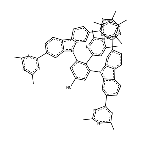 Cc1cc(-c2c(-n3c4cc(-c5nc(C)nc(C)n5)ccc4c4ccc(-c5nc(C)nc(C)n5)cc43)cc(C#N)cc2-n2c3cc(-c4nc(C)nc(C)n4)ccc3c3ccc(-c4nc(C)nc(C)n4)cc32)nc(C)n1